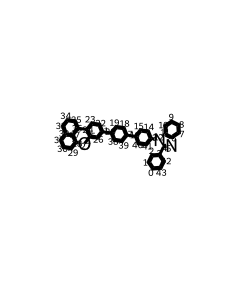 c1ccc(-c2nc3ccccc3n2-c2ccc(-c3ccc(-c4ccc5c(c4)Oc4cccc6cccc-5c46)cc3)cc2)cc1